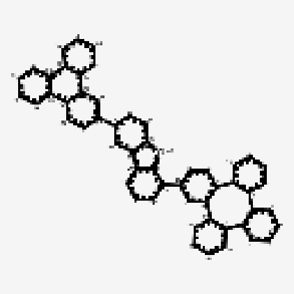 c1ccc2c(c1)-c1ccccc1-c1ccc(-c3cccc4c3oc3ccc(-c5ccc6c7ccccc7c7ccccc7c6c5)cc34)cc1-c1ccccc1-2